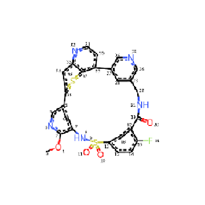 COc1ncc2cc1NS(=O)(=O)c1ccc(F)c(c1)C(=O)NCc1cncc(c1)-c1ccnc3cc-2sc13